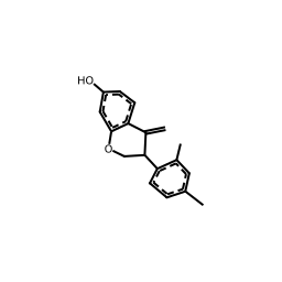 C=C1c2ccc(O)cc2OCC1c1ccc(C)cc1C